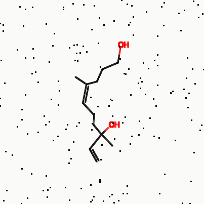 C=CC(C)(O)CCC=C(C)CCCO